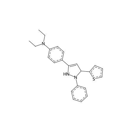 CCN(CC)c1ccc(C2=CC(c3cccs3)N(c3ccccc3)N2)cc1